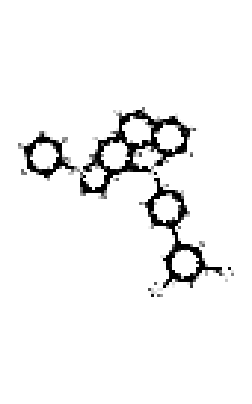 N#Cc1cc(C#N)cc(-c2ccc(-n3c4cccc5ccc6cc7c(ccn7-c7ccccc7)c3c6c54)cc2)c1